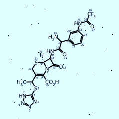 CC(Sc1nnn[nH]1)C1=C(C(=O)O)N2C(=O)C(NC(=O)C(N)c3cccc(NC(=O)C(F)(F)F)c3)[C@@H]2SC1